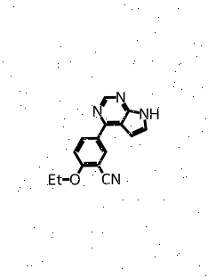 CCOc1ccc(-c2ncnc3[nH]ccc23)cc1C#N